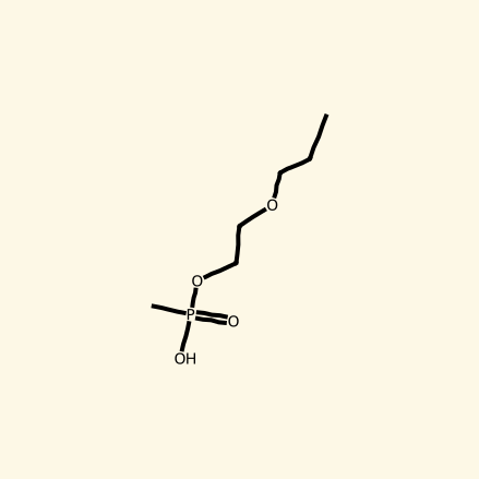 CCCOCCOP(C)(=O)O